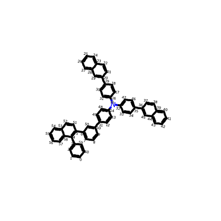 c1ccc(-c2c(-c3cccc(-c4ccc(N(c5ccc(-c6ccc7ccccc7c6)cc5)c5ccc(-c6ccc7ccccc7c6)cc5)cc4)c3)ccc3ccccc23)cc1